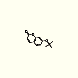 C[Si](C)(C)Oc1ccc2ccc(=O)oc2c1